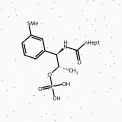 CCCCCCCC(=O)N[C@H](c1cccc(SC)c1)[C@H](C)OP(=O)(O)O